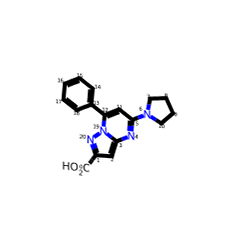 O=C(O)c1cc2nc(N3CCCC3)cc(-c3ccccc3)n2n1